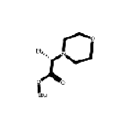 CC[C@@H](C(=O)OC(C)(C)C)N1CCOCC1